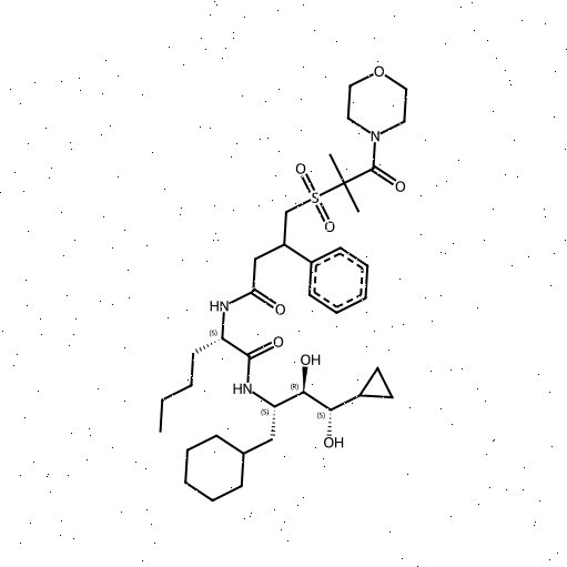 CCCC[C@H](NC(=O)CC(CS(=O)(=O)C(C)(C)C(=O)N1CCOCC1)c1ccccc1)C(=O)N[C@@H](CC1CCCCC1)[C@@H](O)[C@@H](O)C1CC1